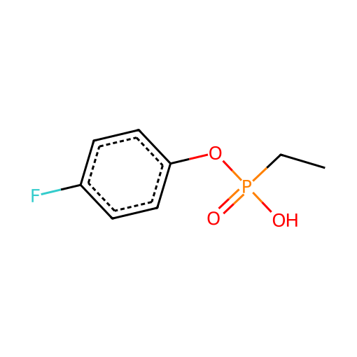 CCP(=O)(O)Oc1ccc(F)cc1